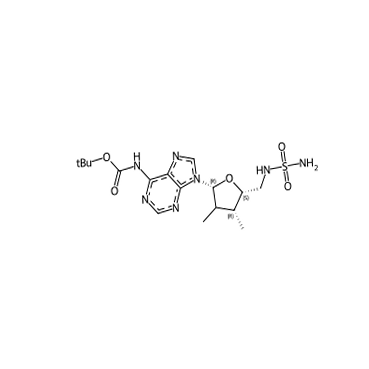 CC1[C@@H](C)[C@@H](CNS(N)(=O)=O)O[C@H]1n1cnc2c(NC(=O)OC(C)(C)C)ncnc21